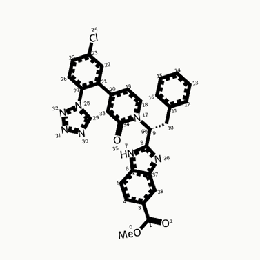 COC(=O)c1ccc2[nH]c([C@@H](Cc3ccccc3)n3ccc(-c4cc(Cl)ccc4-n4cnnn4)cc3=O)nc2c1